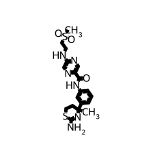 CC1(c2cccc(NC(=O)c3cnc(NCCS(C)(=O)=O)cn3)c2)CCSC(N)=N1